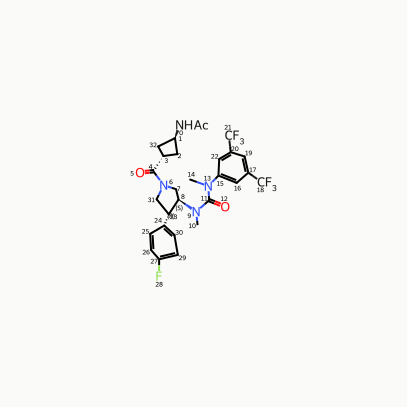 CC(=O)N[C@H]1C[C@H](C(=O)N2C[C@@H](N(C)C(=O)N(C)c3cc(C(F)(F)F)cc(C(F)(F)F)c3)[C@H](c3ccc(F)cc3)C2)C1